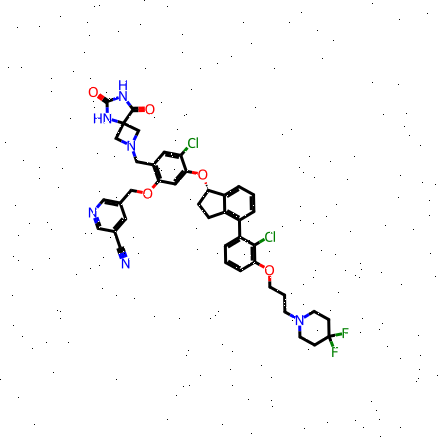 N#Cc1cncc(COc2cc(O[C@H]3CCc4c(-c5cccc(OCCCN6CCC(F)(F)CC6)c5Cl)cccc43)c(Cl)cc2CN2CC3(C2)NC(=O)NC3=O)c1